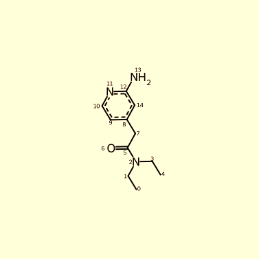 CCN(CC)C(=O)Cc1ccnc(N)c1